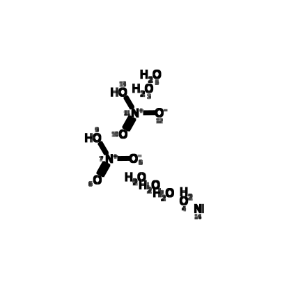 O.O.O.O.O.O.O=[N+]([O-])O.O=[N+]([O-])O.[Ni]